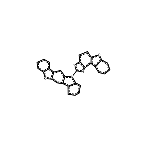 c1ccc2c(c1)oc1cc3c4ccccc4n(-c4nc5c(ccc6oc7ccccc7c65)s4)c3cc12